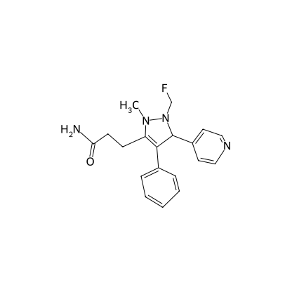 CN1C(CCC(N)=O)=C(c2ccccc2)C(c2ccncc2)N1CF